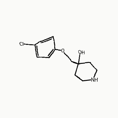 OC1(COc2ccc(Cl)cc2)CCNCC1